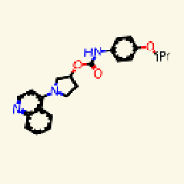 CC(C)Oc1ccc(NC(=O)OC2CCN(c3ccnc4ccccc34)C2)cc1